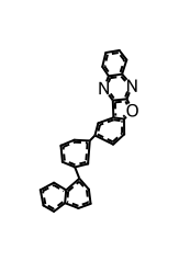 c1cc(-c2ccc3oc4nc5ccccc5nc4c3c2)cc(-c2cccc3ccccc23)c1